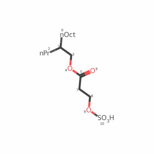 CCCCCCCCC(CCC)COC(=O)CCOS(=O)(=O)O